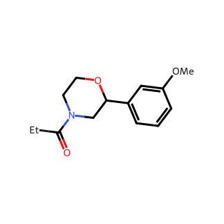 CCC(=O)N1CCOC(c2cccc(OC)c2)C1